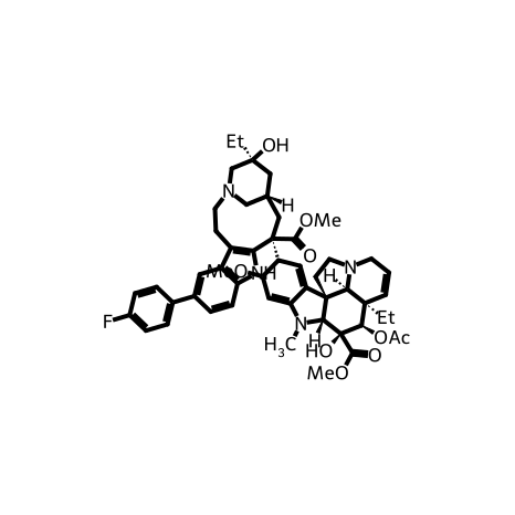 CC[C@]1(O)C[C@H]2CN(CCc3c([nH]c4ccc(-c5ccc(F)cc5)cc34)[C@@](C(=O)OC)(C3C=C4C(=CC3OC)N(C)[C@H]3[C@@](O)(C(=O)OC)[C@H](OC(C)=O)[C@]5(CC)C=CCN6CC[C@]43[C@@H]65)C2)C1